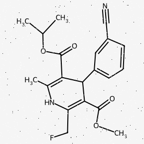 COC(=O)C1=C(CF)NC(C)=C(C(=O)OC(C)C)C1c1cccc(C#N)c1